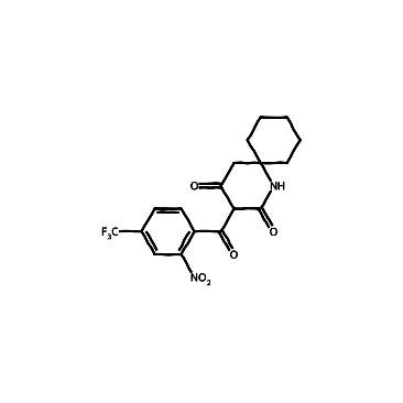 O=C1CC2(CCCCC2)NC(=O)C1C(=O)c1ccc(C(F)(F)F)cc1[N+](=O)[O-]